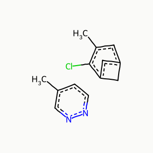 Cc1cc2cc(c1Cl)C2.Cc1ccnnc1